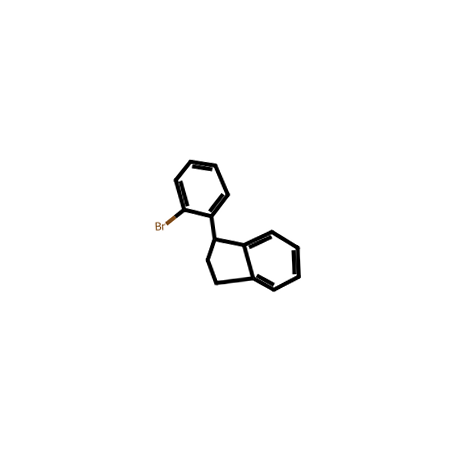 Brc1ccccc1C1CCc2ccccc21